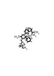 CC(C)c1c[nH]c2ccc(N3CC(C)N(CCCS(C)(=O)=O)CC3(C)c3ccccn3)nc12